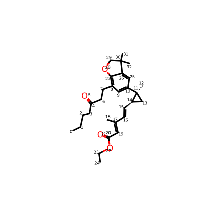 CCCCC(=O)CCc1cc([C@@]2(C)C[C@H]2/C=C/C(C)=C/C(=O)OCC)cc2c1OCC2(C)C